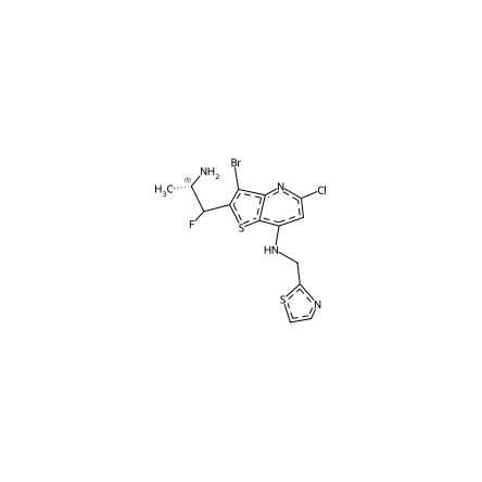 C[C@H](N)C(F)c1sc2c(NCc3nccs3)cc(Cl)nc2c1Br